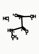 CNC(=O)C(=O)O.Cl